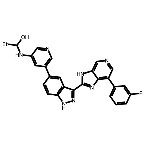 CCC(O)Nc1cncc(-c2ccc3[nH]nc(-c4nc5c(-c6cccc(F)c6)cncc5[nH]4)c3c2)c1